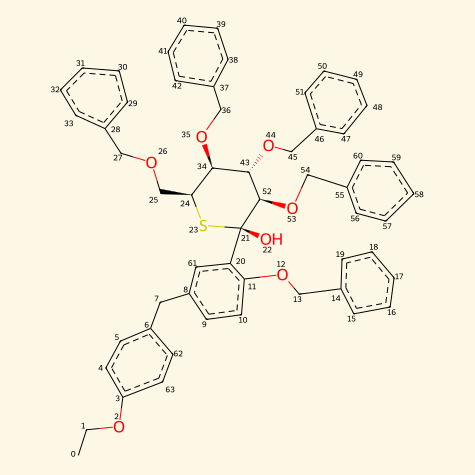 CCOc1ccc(Cc2ccc(OCc3ccccc3)c([C@]3(O)S[C@@H](COCc4ccccc4)[C@@H](OCc4ccccc4)[C@H](OCc4ccccc4)[C@H]3OCc3ccccc3)c2)cc1